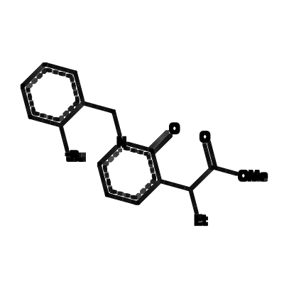 CCC(C(=O)OC)c1cccn(Cc2ccccc2C(C)(C)C)c1=O